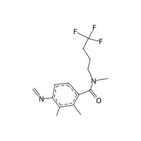 C=Nc1ccc(C(=O)N(C)CCCC(F)(F)F)c(C)c1C